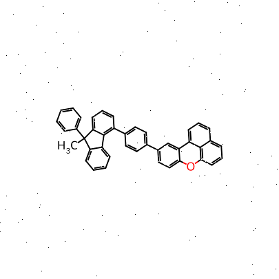 CC1(c2ccccc2)c2ccccc2-c2c(-c3ccc(-c4ccc5c(c4)-c4cccc6cccc(c46)O5)cc3)cccc21